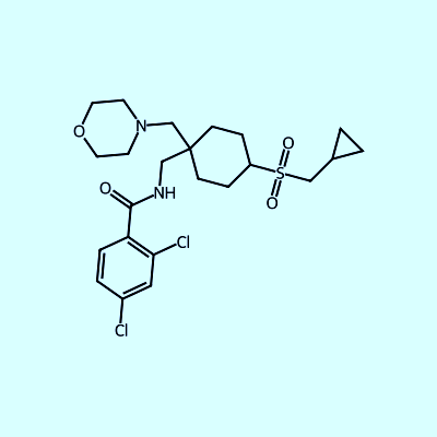 O=C(NCC1(CN2CCOCC2)CCC(S(=O)(=O)CC2CC2)CC1)c1ccc(Cl)cc1Cl